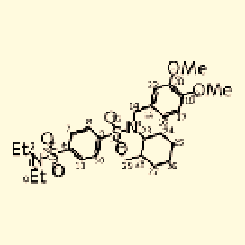 CCN(CC)S(=O)(=O)c1ccc(S(=O)(=O)N(Cc2ccc(OC)c(OC)c2)C2CCCCC2C)cc1